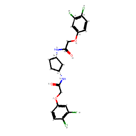 O=C(COc1ccc(Cl)c(F)c1)N[C@@H]1CC[C@H](NC(=O)COc2ccc(Cl)c(F)c2)C1